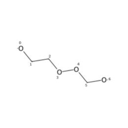 [O]CCOOC[O]